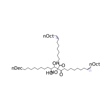 CCCCCCCC/C=C\CCCCCCCC(=O)C(O)(C(=O)CCCCCCC/C=C\CCCCCCCC)C(O)C(O)CCCCCCCCCCCCCCCCCC